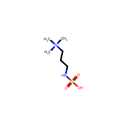 C[N+](C)(C)CCCNS(=O)(=O)O